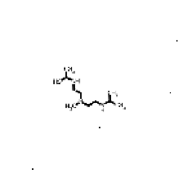 CC(C)NCCN(C)CCNC(C)S